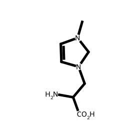 CN1C=CN(CC(N)C(=O)O)C1